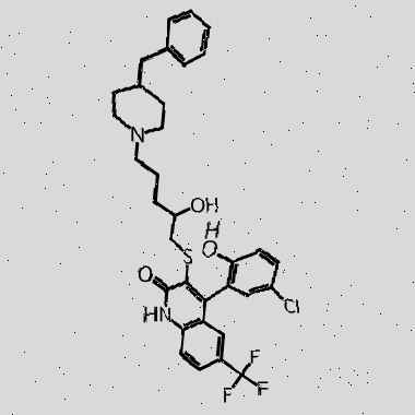 O=c1[nH]c2ccc(C(F)(F)F)cc2c(-c2cc(Cl)ccc2O)c1SCC(O)CCCN1CCC(Cc2ccccc2)CC1